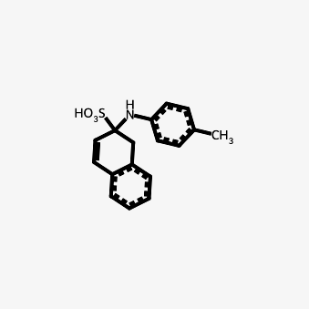 Cc1ccc(NC2(S(=O)(=O)O)C=Cc3ccccc3C2)cc1